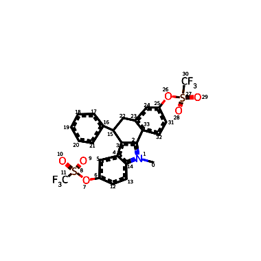 Cn1c2c(c3cc(OS(=O)(=O)C(F)(F)F)ccc31)C(c1ccccc1)Cc1cc(OS(=O)(=O)C(F)(F)F)ccc1-2